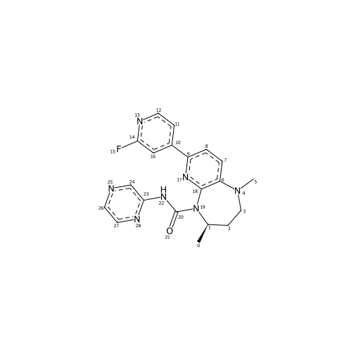 C[C@@H]1CCN(C)c2ccc(-c3ccnc(F)c3)nc2N1C(=O)Nc1cnccn1